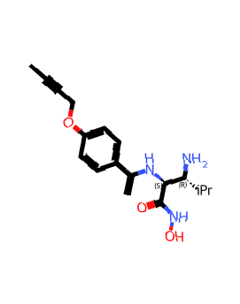 C=C(N[C@H](C(=O)NO)[C@H](N)C(C)C)c1ccc(OCC#CC)cc1